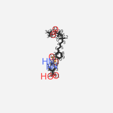 CC(C)(CCCCc1cccc(S(=O)(=O)Nc2ncc(C(=O)O)cn2)c1)CC(C)(C)C(=O)OC(C)(C)C